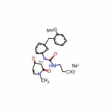 COc1ccccc1Cc1cccc(N(C(=O)NCCC(=O)[O-])[C@H]2C(=O)C=CN(C)C2=O)c1.[Na+]